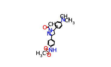 CC(=O)N1N=C(c2ccc(NS(C)(=O)=O)cc2)CC1c1ccc(N(C)C)cc1